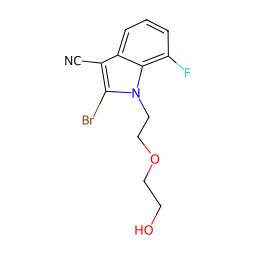 N#Cc1c(Br)n(CCOCCO)c2c(F)cccc12